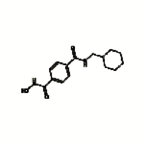 O=C(NO)c1ccc(C(=O)NCC2CCCCC2)cc1